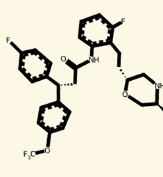 [CH2][C@H]1CO[C@H](CCc2c(F)cccc2NC(=O)C[C@@H](c2ccc(F)cc2)c2ccc(OC(F)(F)F)cc2)CN1